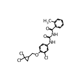 Cc1ccccc1C(=O)NC(=O)Nc1ccc(OCC2CC2(Cl)Cl)c(Cl)c1